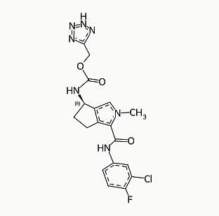 Cn1cc2c(c1C(=O)Nc1ccc(F)c(Cl)c1)CC[C@H]2NC(=O)OCc1nn[nH]n1